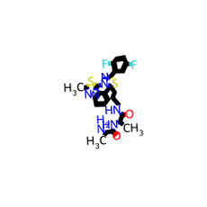 Cc1nnc(N2N=C(c3cc(F)ccc3F)SC2(CCCNC(=O)C(C)NC(=O)C(C)N)c2ccccc2)s1